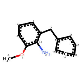 COc1cccc(Cc2ccccc2)c1N